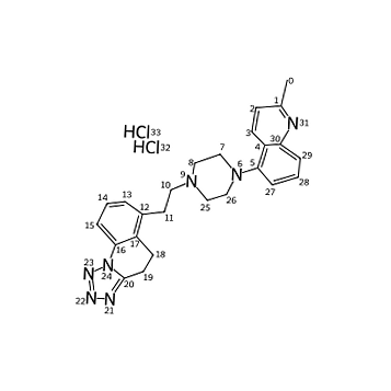 Cc1ccc2c(N3CCN(CCc4cccc5c4CCc4nnnn4-5)CC3)cccc2n1.Cl.Cl